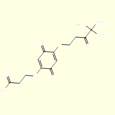 CC(C)(C)C(=O)CCSC1=CC(=O)C(SCCC(=O)O)=CC1=O